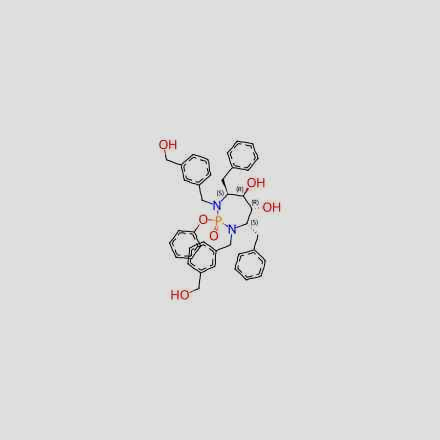 O=P1(Oc2ccccc2)N(Cc2cccc(CO)c2)[C@@H](Cc2ccccc2)[C@@H](O)[C@H](O)[C@H](Cc2ccccc2)N1Cc1cccc(CO)c1